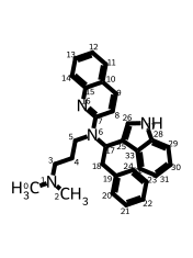 CN(C)CCCN(c1ccc2ccccc2n1)C(Cc1ccccc1)c1c[nH]c2ccccc12